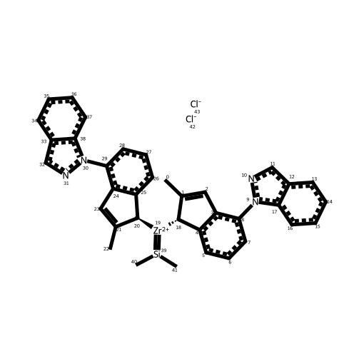 CC1=Cc2c(cccc2-n2ncc3ccccc32)[C@@H]1[Zr+2]([C@H]1C(C)=Cc2c1cccc2-n1ncc2ccccc21)=[Si](C)C.[Cl-].[Cl-]